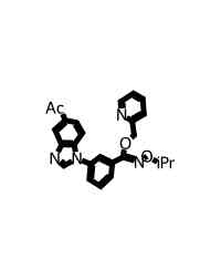 CC(=O)c1ccc2c(c1)ncn2-c1cccc(C(=NOC(C)C)OCc2ccccn2)c1